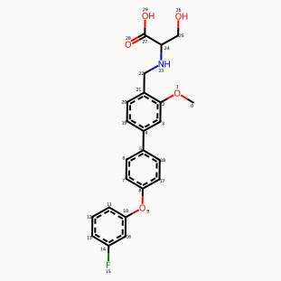 COc1cc(-c2ccc(Oc3cccc(F)c3)cc2)ccc1CNC(CO)C(=O)O